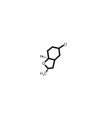 C[C@@H]1CC2CC(Cl)CC[C@@H]2O1